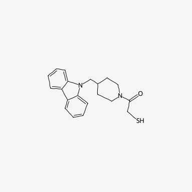 O=C(CS)N1CCC(Cn2c3ccccc3c3ccccc32)CC1